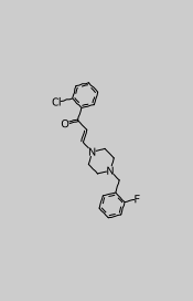 O=C(C=CN1CCN(Cc2ccccc2F)CC1)c1ccccc1Cl